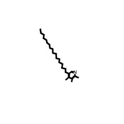 CCCCCCCCCCCCCCCCCCc1cnc(C)c(C)c1C